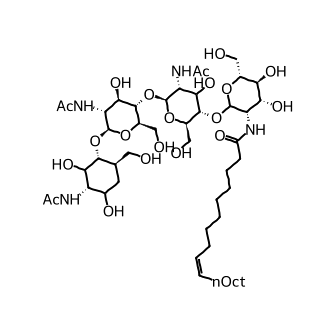 CCCCCCCC/C=C\CCCCCCCC(=O)N[C@@H]1C(O[C@H]2C(O)[C@@H](NC(C)=O)[C@H](O[C@H]3[C@H](O)[C@@H](NC(C)=O)[C@H](O[C@H]4C(O)[C@@H](NC(C)=O)C(O)C[C@@H]4CO)O[C@@H]3CO)O[C@@H]2CO)O[C@H](CO)[C@@H](O)[C@@H]1O